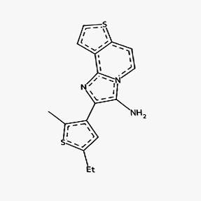 CCc1cc(-c2nc3c4ccsc4ccn3c2N)c(C)s1